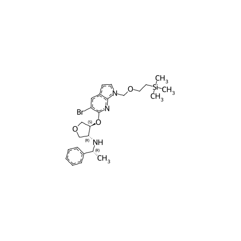 C[C@@H](N[C@@H]1COC[C@H]1Oc1nc2c(ccn2COCC[Si](C)(C)C)cc1Br)c1ccccc1